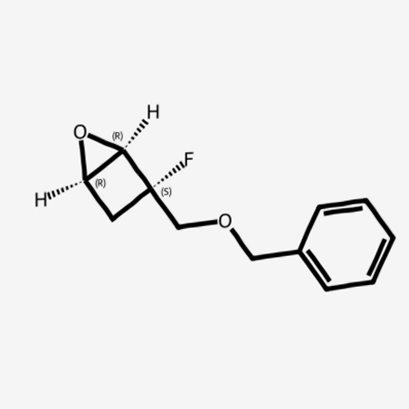 F[C@]1(COCc2ccccc2)C[C@H]2O[C@H]21